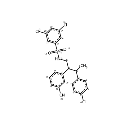 CC(c1ccc(Cl)cc1)C(CNS(=O)(=O)c1cc(Cl)cc(Cl)c1)c1cccc(C#N)c1